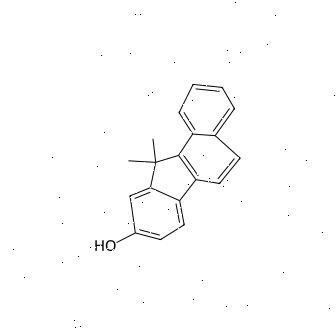 CC1(C)c2cc(O)ccc2-c2ccc3ccccc3c21